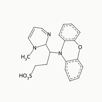 CN1C=CC=NC1C(CCS(=O)(=O)O)N1c2ccccc2Oc2ccccc21